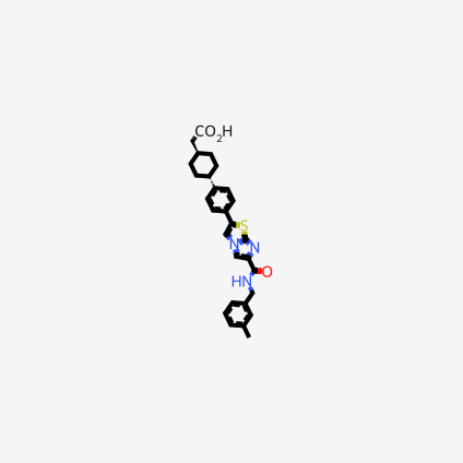 Cc1cccc(CNC(=O)c2cn3cc(-c4ccc([C@H]5CC[C@H](CC(=O)O)CC5)cc4)sc3n2)c1